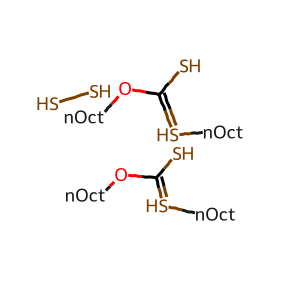 CCCCCCCCOC(S)=[SH]CCCCCCCC.CCCCCCCCOC(S)=[SH]CCCCCCCC.SS